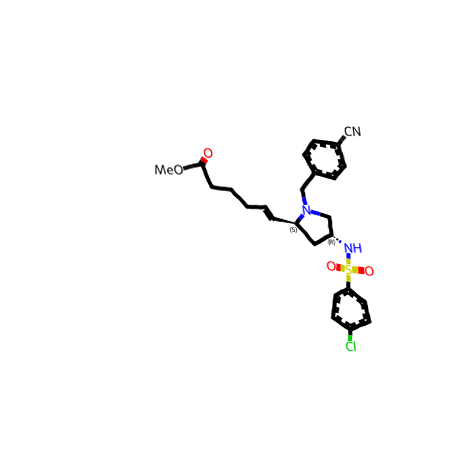 COC(=O)CCCC=C[C@@H]1C[C@@H](NS(=O)(=O)c2ccc(Cl)cc2)CN1Cc1ccc(C#N)cc1